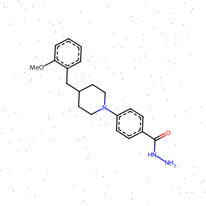 COc1ccccc1CC1CCN(c2ccc(C(=O)NN)cc2)CC1